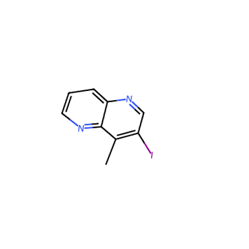 Cc1c(I)cnc2cccnc12